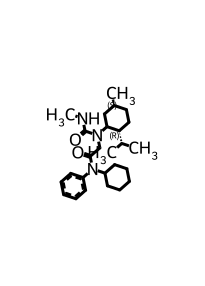 CNC(=O)N(CC(=O)N(c1ccccc1)C1CCCCC1)C1C[C@@H](C)CC[C@@H]1C(C)C